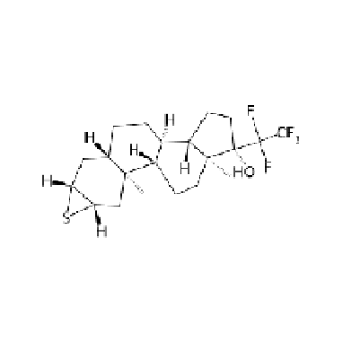 C[C@]12C[C@@H]3S[C@@H]3C[C@@H]1CC[C@@H]1[C@@H]2CC[C@@]2(C)[C@H]1CC[C@@]2(O)C(F)(F)C(F)(F)F